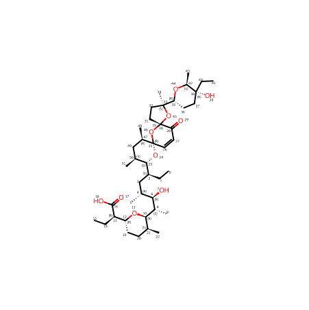 CC[C@@H](C[C@@H](C)[C@@H](O)[C@H](C)[C@@H]1O[C@@H]([C@@H](CC)C(=O)O)CC[C@@H]1C)[C@H]1O[C@]2(C=CC(=O)[C@]3(CC[C@@](C)([C@H]4CC[C@](O)(CC)[C@H](C)O4)O3)O2)[C@H](C)C[C@@H]1C